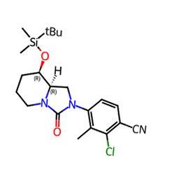 Cc1c(N2C[C@@H]3[C@H](O[Si](C)(C)C(C)(C)C)CCCN3C2=O)ccc(C#N)c1Cl